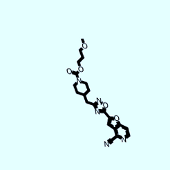 COCCCOC(=O)N1CCC(Cc2noc(-c3cc4c(C#N)nccc4o3)n2)CC1